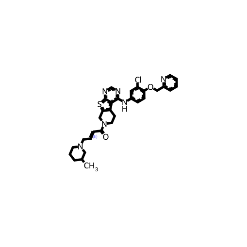 CC1CCCN(C/C=C/C(=O)N2CCc3c(sc4ncnc(Nc5ccc(OCc6ccccn6)c(Cl)c5)c34)C2)C1